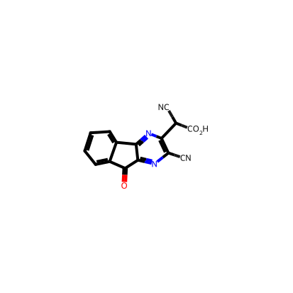 N#Cc1nc2c(nc1C(C#N)C(=O)O)-c1ccccc1C2=O